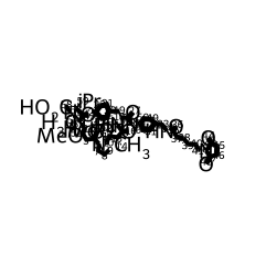 CC[C@H](C)[C@@H]([C@H](CC(=O)N1CCC[C@H]1[C@H](OC)[C@@H](C)C(=O)N[C@@H](Cc1ccccc1)C(=O)Nc1ccc(CNC(=O)CCCCCN2C(=O)C=CC2=O)cc1)OC)N(C)C(=O)[C@@H](NC(=O)O)C(C)C